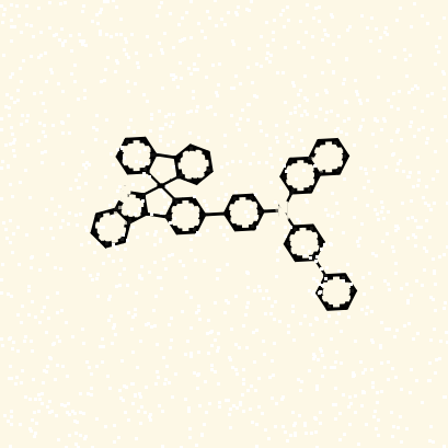 c1ccc(-c2ccc(N(c3ccc(-c4ccc5c(c4)C4(c6ccccc6-c6ccccc64)c4sc6ccccc6c4-5)cc3)c3ccc4ccccc4c3)cc2)cc1